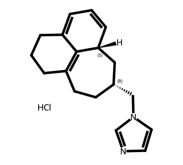 C1=C[C@@H]2C[C@H](Cn3ccnc3)CCC3=C2C(=C1)CCC3.Cl